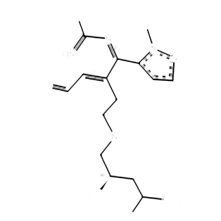 CC(=N)/N=C(\C(=C\C=O)CCNC[C@H](C)CC(C)C)c1ccnn1C